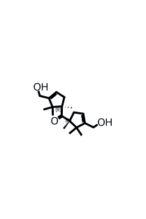 CC1(C)C(CO)=CC[C@@]1(C)C(=O)[C@]1(C)CC=C(CO)C1(C)C